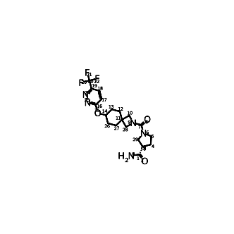 NC(=O)[C@H]1CCN(C(=O)N2CC3(CCC(Oc4ccc(C(F)(F)F)nn4)CC3)C2)C1